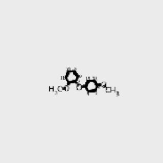 COc1ccc(Oc2[c]cccc2OC)cc1